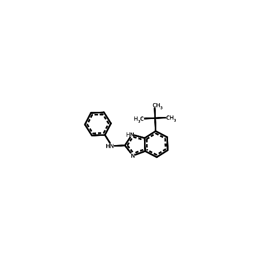 CC(C)(C)c1cccc2nc(Nc3ccccc3)[nH]c12